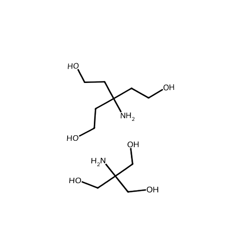 NC(CCO)(CCO)CCO.NC(CO)(CO)CO